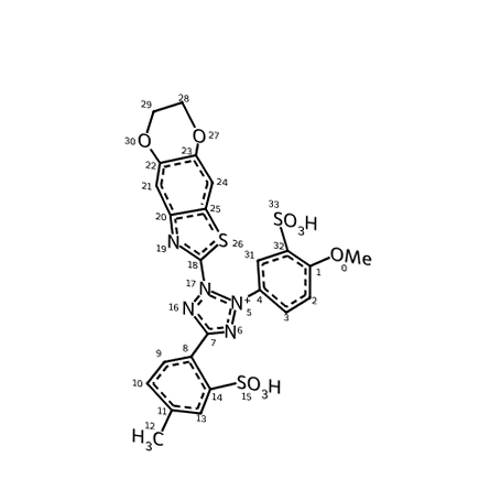 COc1ccc(-[n+]2nc(-c3ccc(C)cc3S(=O)(=O)O)nn2-c2nc3cc4c(cc3s2)OCCO4)cc1S(=O)(=O)O